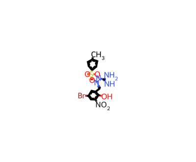 Cc1ccc(S(=O)(=O)ON(N=Cc2cc(Br)cc([N+](=O)[O-])c2O)C(=N)N)cc1